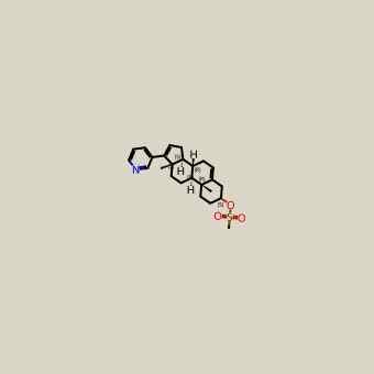 C[C@]12CC[C@H](OS(C)(=O)=O)CC1=CC[C@@H]1[C@@H]2CC[C@]2(C)C(c3cccnc3)=CC[C@@H]12